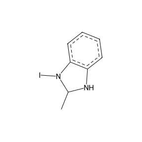 CC1Nc2ccccc2N1I